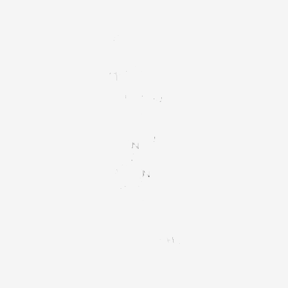 Cc1ccccc1Cc1csc(N2CCC(S(=O)(=O)c3cccc(Cl)c3Cl)CC2)n1